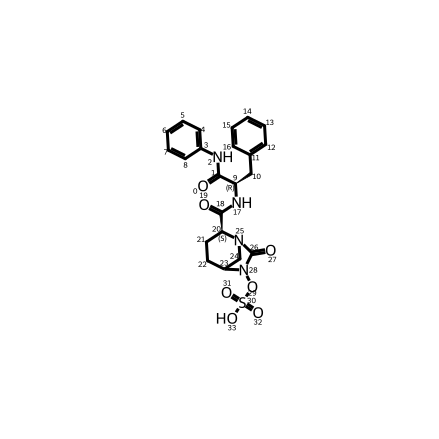 O=C(Nc1ccccc1)[C@@H](Cc1ccccc1)NC(=O)[C@@H]1CCC2CN1C(=O)N2OS(=O)(=O)O